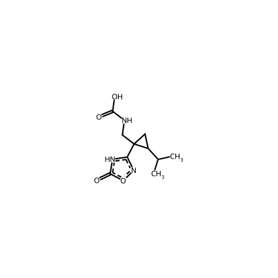 CC(C)C1CC1(CNC(=O)O)c1noc(=O)[nH]1